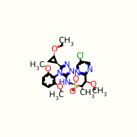 CCO[C@H]1C[C@@H]1c1nnc(NS(=O)(=O)[C@@H](C)[C@H](OC)c2ncc(Cl)cn2)n1-c1c(OC)cccc1OC